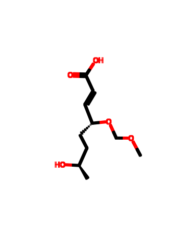 COCO[C@@H](/C=C/C(=O)O)CC[C@@H](C)O